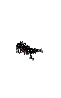 Cc1c(O)c(-c2ncc3c(=O)n(C4C[C@H]5CC[C@@H](C4)N5C(=O)OC(C)(C)C)ccc3n2)cc2cn(C)nc12